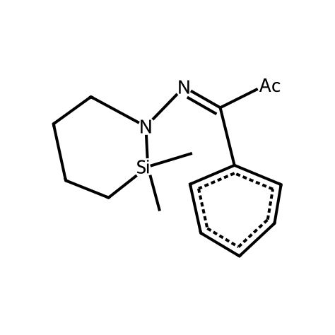 CC(=O)C(=NN1CCCC[Si]1(C)C)c1ccccc1